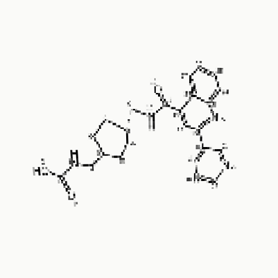 O=C(O)NC[C@H]1CC[C@H](CNC(=O)c2cc(-c3cncnc3)nc3ccccc23)CC1